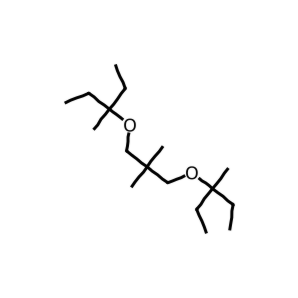 CCC(C)(CC)OCC(C)(C)COC(C)(CC)CC